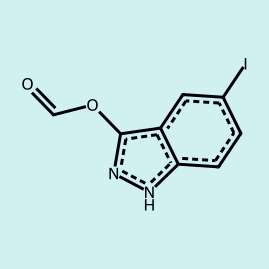 O=COc1n[nH]c2ccc(I)cc12